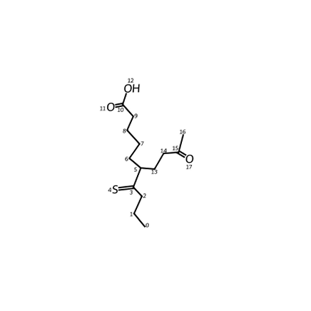 CCCC(=S)C(CCCCC(=O)O)CCC(C)=O